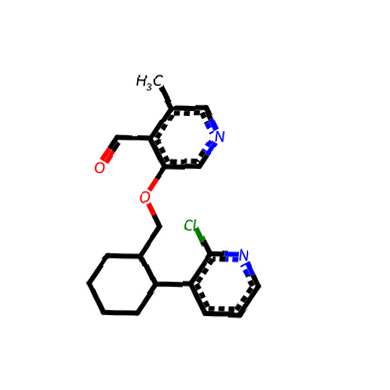 Cc1cncc(OCC2CCCCC2c2cccnc2Cl)c1C=O